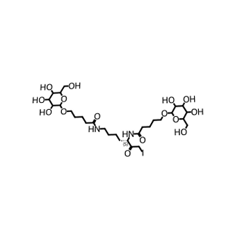 O=C(CCCCOC1OC(CO)C(O)C(O)C1O)NCCCC[C@H](NC(=O)CCCCOC1OC(CO)C(O)C(O)C1O)C(=O)CI